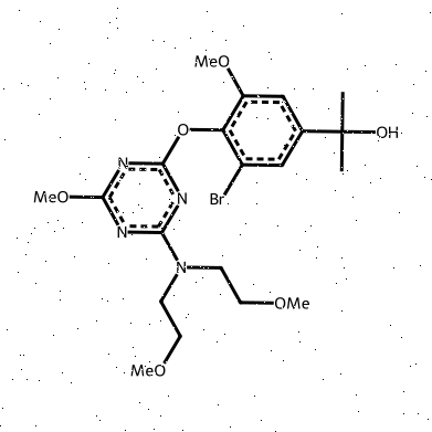 COCCN(CCOC)c1nc(OC)nc(Oc2c(Br)cc(C(C)(C)O)cc2OC)n1